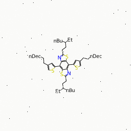 CCCCCCCCCCCCc1csc(-c2c3nc(CCC(CC)CCCC)sc3c(-c3cc(CCCCCCCCCCCC)cs3)c3nc(CCC(CC)CCCC)sc23)c1